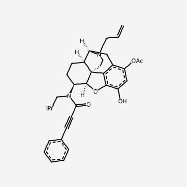 C=CCN1CC[C@]23c4c5c(OC(C)=O)cc(O)c4O[C@H]2[C@@H](N(CC(C)C)C(=O)C#Cc2ccccc2)CC[C@H]3[C@H]1C5